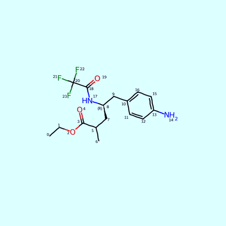 CCOC(=O)C(C)C[C@H](Cc1ccc(N)cc1)NC(=O)C(F)(F)F